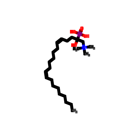 CCCCCCCC/C=C\CCCCC/C=C\CCC(O)(C[N+](C)(C)C)P(=O)(O)O